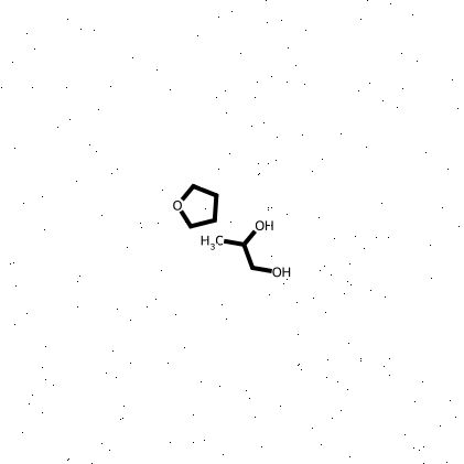 C1CCOC1.CC(O)CO